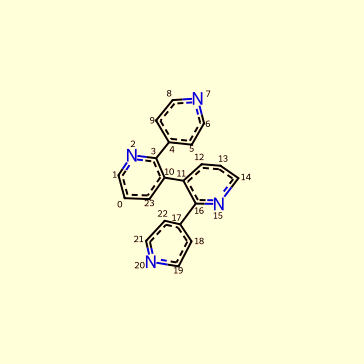 c1cnc(-c2ccncc2)c(-c2cccnc2-c2ccncc2)c1